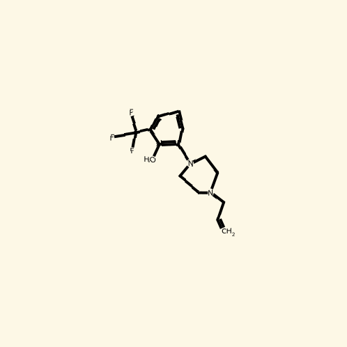 C=CCN1CCN(c2cccc(C(F)(F)F)c2O)CC1